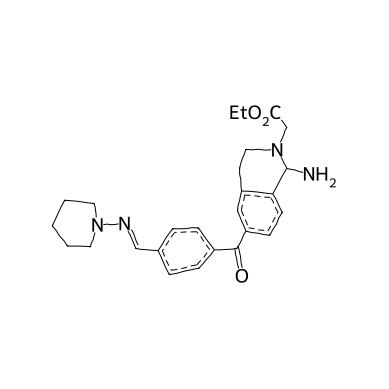 CCOC(=O)CN1CCc2cc(C(=O)c3ccc(C=NN4CCCCC4)cc3)ccc2C1N